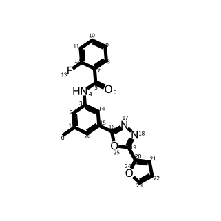 Cc1cc(NC(=O)c2ccccc2F)cc(-c2nnc(-c3ccco3)o2)c1